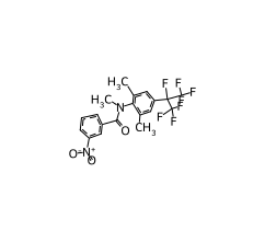 Cc1cc(C(F)(C(F)(F)F)C(F)(F)F)cc(C)c1N(C)C(=O)c1cccc([N+](=O)[O-])c1